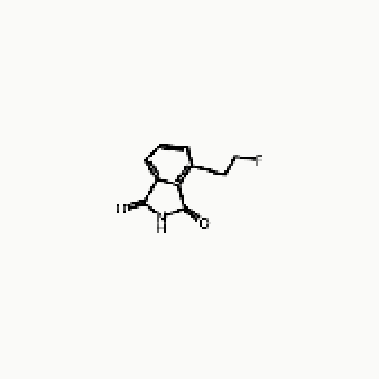 O=C1NC(=O)c2c(CCF)cccc21